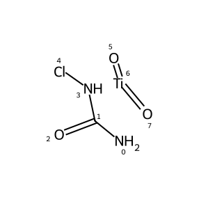 NC(=O)NCl.[O]=[Ti]=[O]